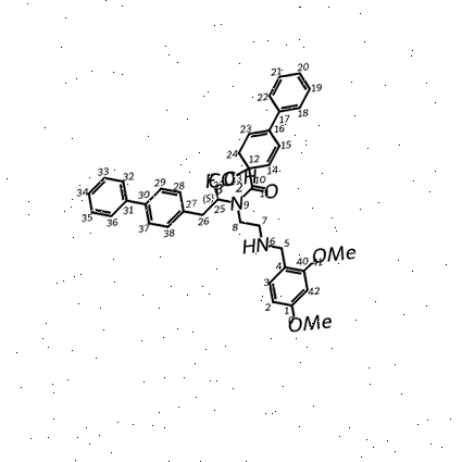 COc1ccc(CNCCN(C(=O)C2(C(F)(F)F)C=CC(c3ccccc3)=CC2)[C@@H](Cc2ccc(-c3ccccc3)cc2)C(=O)O)c(OC)c1